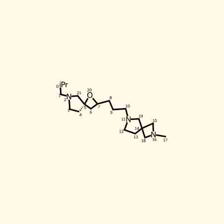 CC(C)CN1CC[C@]2(CC(CCCN3CCC4(CN(C)C4)C3)O2)C1